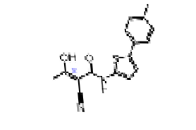 C/C(O)=C(\C#N)C(=O)Nc1ccc(-c2ccc(C)cc2)s1